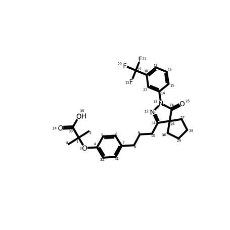 CC(C)(Oc1ccc(CCCC2=NN(c3cccc(C(F)(F)F)c3)C(=O)C23CCCC3)cc1)C(=O)O